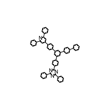 c1ccc(-c2ccc(-c3cc(-c4ccc(-c5cc(-c6ccccc6)nc(-c6ccccc6)c5)cc4)cc(-c4ccc(-c5nc(-c6ccccc6)nc(-c6ccccc6)n5)cc4)c3)cc2)cc1